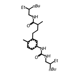 CCCCC(CC)CNC(=O)Nc1ccc(C)c(CCC(C)C(=O)NCC(CC)CCCC)c1